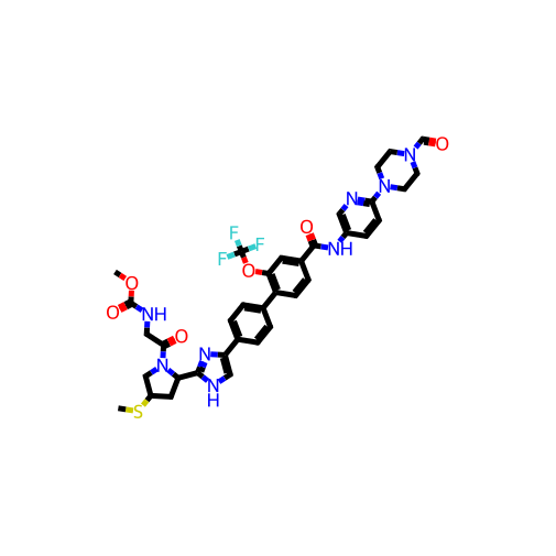 COC(=O)NCC(=O)N1CC(SC)CC1c1nc(-c2ccc(-c3ccc(C(=O)Nc4ccc(N5CCN(C=O)CC5)nc4)cc3OC(F)(F)F)cc2)c[nH]1